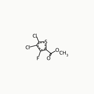 COC(=O)c1sc(Cl)c(Cl)c1F